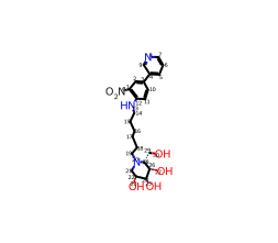 O=[N+]([O-])c1cc(-c2cccnc2)ccc1NCCCCCCN1C[C@H](O)[C@@H](O)[C@H](O)[C@H]1CO